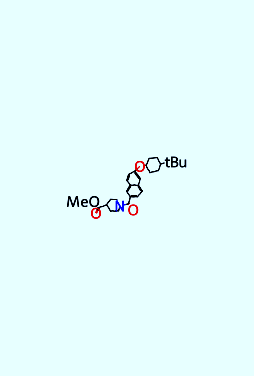 COC(=O)C1CCN(C(=O)c2ccc3cc(OC4CCC(C(C)(C)C)CC4)ccc3c2)CC1